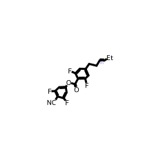 CC/C=C/CCc1cc(F)c(C(=O)Oc2cc(F)c(C#N)c(F)c2)c(F)c1